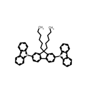 CCCCCCC1(CCCCCC)c2cc(-n3c4ccccc4c4ccccc43)ccc2-c2ccc(-n3c4ccccc4c4ccccc43)cc21